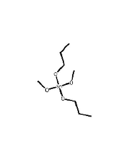 CCC[O][Sn]([O]C)([O]C)[O]CCC